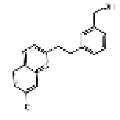 OCc1cccc(CCc2ccc3ccc(Cl)cc3n2)c1